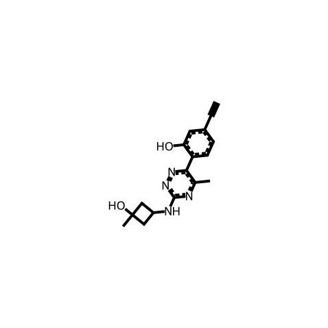 C#Cc1ccc(-c2nnc(NC3CC(C)(O)C3)nc2C)c(O)c1